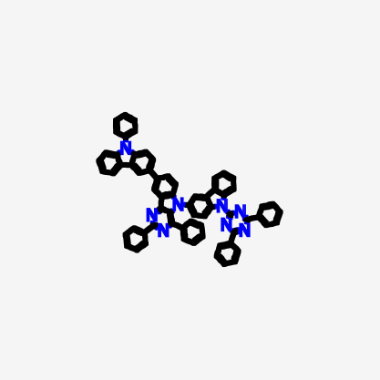 c1ccc(-c2nc(-c3ccccc3)nc(-n3c4ccccc4c4cc(-n5c6ccc(-c7ccc8c(c7)c7ccccc7n8-c7ccccc7)cc6c6nc(-c7ccccc7)nc(-c7ccccc7)c65)ccc43)n2)cc1